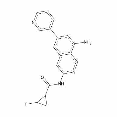 Nc1cc(-c2cccnc2)cc2cc(NC(=O)C3CC3F)ncc12